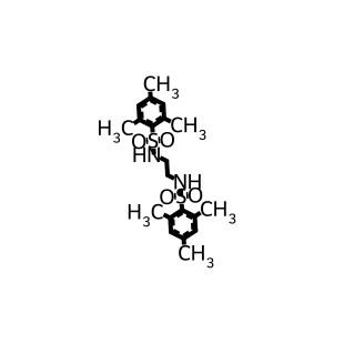 Cc1cc(C)c(S(=O)(=O)NCCNS(=O)(=O)c2c(C)cc(C)cc2C)c(C)c1